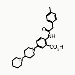 Cc1ccc(CC(=O)Nc2ccc(N3CCC(N4CCCCC4)CC3)cc2C(=O)O)cc1